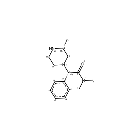 C[C@@H]1CN([C@H](C(=O)N(C)C)c2ccccc2)CCN1